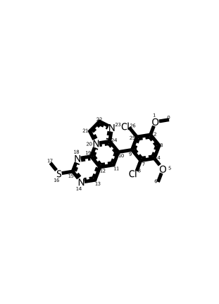 COc1cc(OC)c(Cl)c(-c2cc3cnc(SC)nc3n3ccnc23)c1Cl